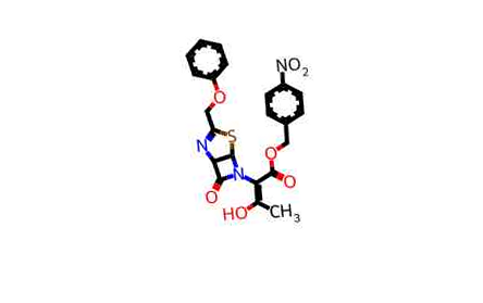 CC(O)=C(C(=O)OCc1ccc([N+](=O)[O-])cc1)N1C(=O)C2N=C(COc3ccccc3)SC21